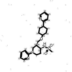 CS(=O)(=O)N[C@H]1CCN(c2ccccn2)C[C@H]1COC1CCC(c2ccccn2)CC1